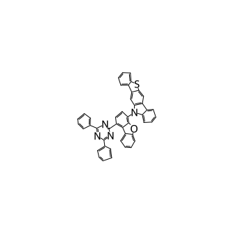 c1ccc(-c2nc(-c3ccccc3)nc(-c3ccc(-n4c5ccccc5c5cc6sc7ccccc7c6cc54)c4oc5ccccc5c34)n2)cc1